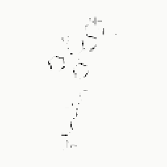 CN(C)C(=O)/C=C/CNCCOc1ccc(/C(=C(\c2ccccc2)C2CC2)c2ccc(N)c(C=N)c2)cc1